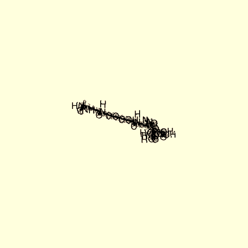 C[C@@H]1NC(=O)N[C@@H]1CCCCCC(=O)NCCOCCOCCOCCOCCC(=O)NCCCc1cn([C@@H]2O[C@H](COP(=O)(O)O)[C@H](OP(=O)(O)O)[C@@H]2O)c(=O)nc1N